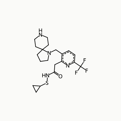 O=C(Cc1nc(C(F)(F)F)ccc1CN1CCCC12CCNCC2)NSC1CC1